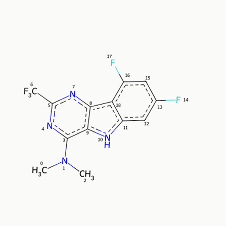 CN(C)c1nc(C(F)(F)F)nc2c1[nH]c1cc(F)cc(F)c12